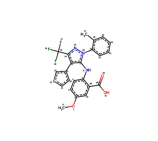 COc1ccc(Nc2c(-c3ccsc3)c(C(F)(F)F)nn2-c2ccccc2C)c(C(=O)O)c1